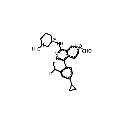 CN1CCC[C@@H](Nc2nnc(-c3ccc(C4CC4)cc3C(F)F)c3ccncc23)C1.O=CO